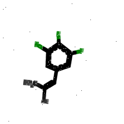 CC(=O)C(=Cc1cc(F)c(F)c(F)c1)C(=O)O